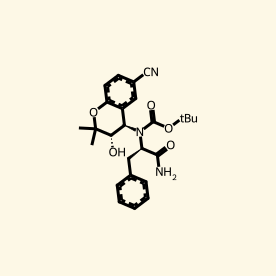 CC(C)(C)OC(=O)N([C@H](Cc1ccccc1)C(N)=O)[C@@H]1c2cc(C#N)ccc2OC(C)(C)[C@H]1O